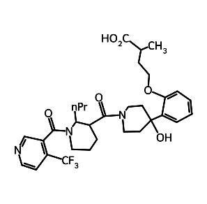 CCCC1C(C(=O)N2CCC(O)(c3ccccc3OCCC(C)C(=O)O)CC2)CCCN1C(=O)c1cnccc1C(F)(F)F